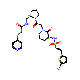 O=C(CSc1ccncc1)NC[C@H]1CCCN1C(=O)CN1CCC[C@H](NS(=O)(=O)/C=C/c2ccc(Cl)s2)C1=O